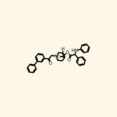 O=C(C[N+]12CCC(CC1)[C@@H](OC(=O)C(Nc1ccccc1)c1ccccc1)C2)c1cccc(-c2ccccc2)c1